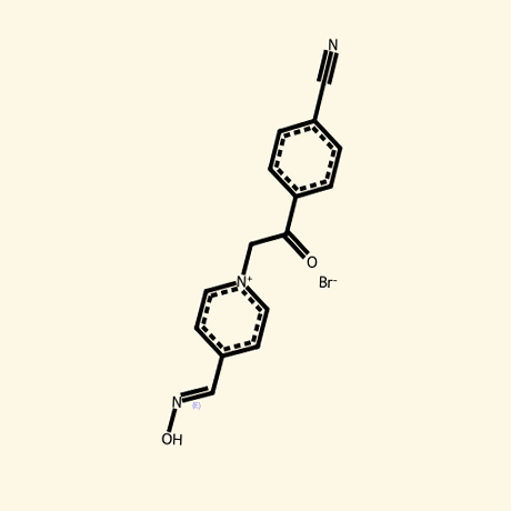 N#Cc1ccc(C(=O)C[n+]2ccc(/C=N/O)cc2)cc1.[Br-]